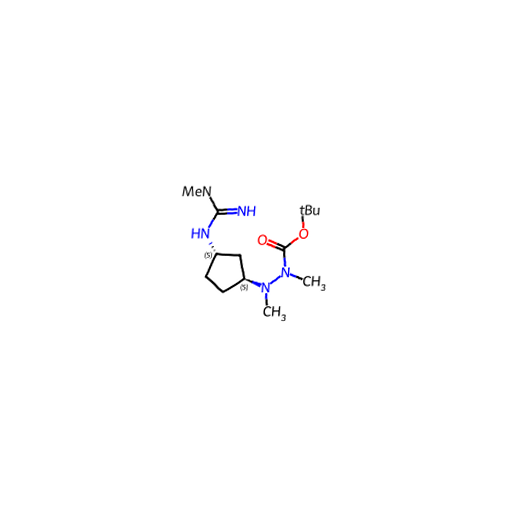 CNC(=N)N[C@H]1CC[C@H](N(C)N(C)C(=O)OC(C)(C)C)C1